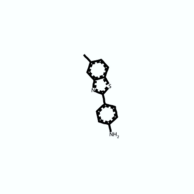 Cc1ccc2sc(-c3ccc(N)cc3)nc2c1